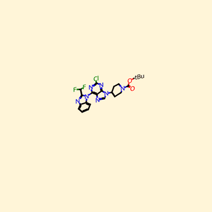 CC(C)(C)OC(=O)N1CCC(n2cnc3c(-n4c(C(F)F)nc5ccccc54)nc(Cl)nc32)CC1